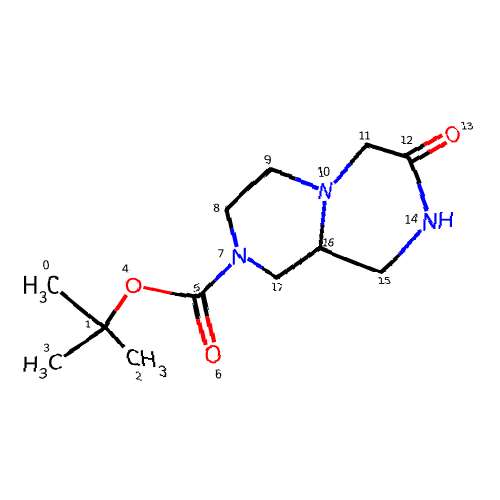 CC(C)(C)OC(=O)N1CCN2CC(=O)NCC2C1